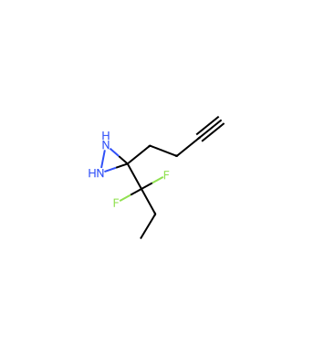 C#CCCC1(C(F)(F)CC)NN1